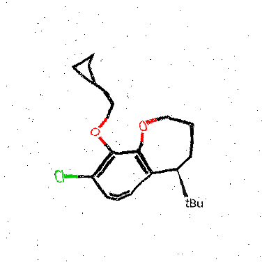 CC(C)(C)[C@@H]1CCCOc2c1ccc(Cl)c2OCC1CC1